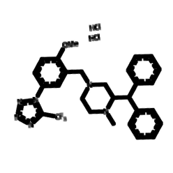 COc1ccc(-n2nnnc2C(F)(F)F)cc1CN1CCN(C)C(C(c2ccccc2)c2ccccc2)C1.Cl.Cl